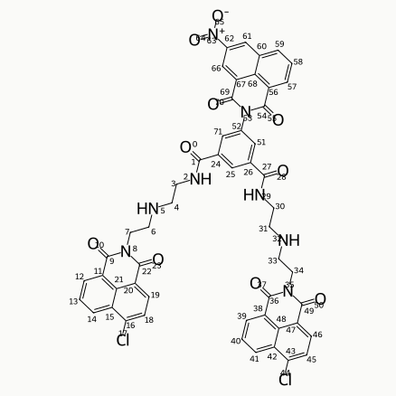 O=C(NCCNCCN1C(=O)c2cccc3c(Cl)ccc(c23)C1=O)c1cc(C(=O)NCCNCCN2C(=O)c3cccc4c(Cl)ccc(c34)C2=O)cc(N2C(=O)c3cccc4cc([N+](=O)[O-])cc(c34)C2=O)c1